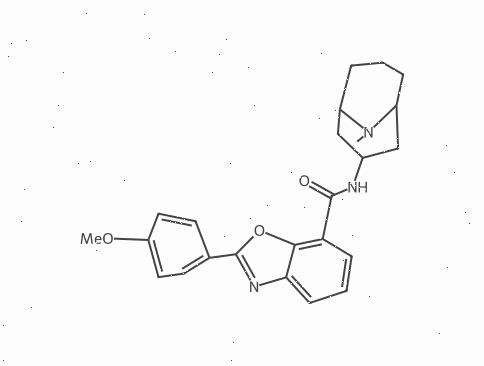 COc1ccc(-c2nc3cccc(C(=O)NC4CC5CCCC(C4)N5C)c3o2)cc1